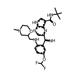 CN1CCOC(CNc2ccc(OC(F)F)cc2C(=N)c2cnc3[nH]cc(C(=O)NC(C)(C)C)c3n2)C1